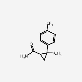 CC1(c2ccc(C(F)(F)F)cc2)CC1C(N)=O